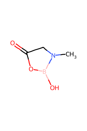 CN1CC(=O)OB1O